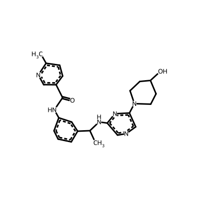 Cc1ccc(C(=O)Nc2cccc(C(C)Nc3cncc(N4CCC(O)CC4)n3)c2)cn1